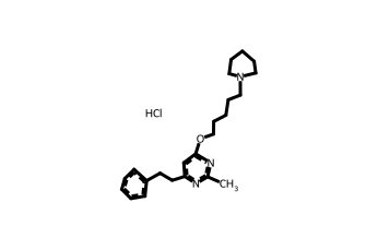 Cc1nc(CCc2ccccc2)cc(OCCCCCN2CCCCC2)n1.Cl